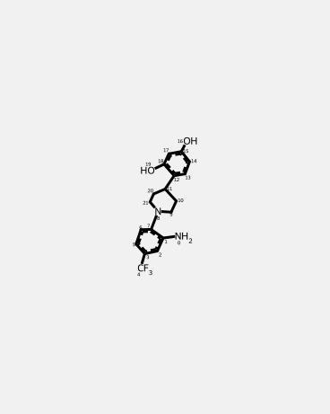 Nc1cc(C(F)(F)F)ccc1N1CCC(c2ccc(O)cc2O)CC1